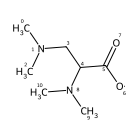 CN(C)CC(C([O])=O)N(C)C